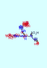 CC[N+]1=C(/C=C/C=C/C=C2/N(CCCCCC(=O)NC(CSSCCC(=O)NCC#Cc3cn(C4CC(O)C(COP(=O)(O)OP(=O)(O)OP(=O)(O)O)O4)c4ncnc(N)c34)C(=O)NCCCCCC(=O)NCCn3c(=O)ccn(C4CC(O)C(COP(=O)(O)O)O4)c3=O)c3ccc(S(=O)(=O)O)cc3C2(C)C)C(C)(C)c2cc(SOOO)ccc21